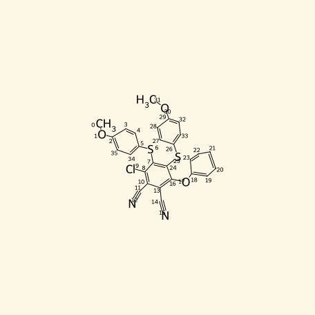 COc1ccc(Sc2c(Cl)c(C#N)c(C#N)c(Oc3ccccc3)c2Sc2ccc(OC)cc2)cc1